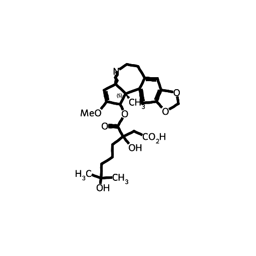 COC1=CC23CCCN2CCc2cc4c(cc2[C@]3(C)C1OC(=O)C(O)(CCCC(C)(C)O)CC(=O)O)OCO4